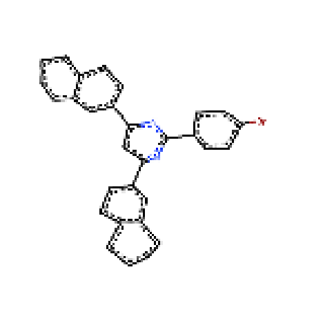 Brc1ccc(-c2nc(-c3ccc4ccccc4c3)cc(-c3ccc4ccccc4c3)n2)cc1